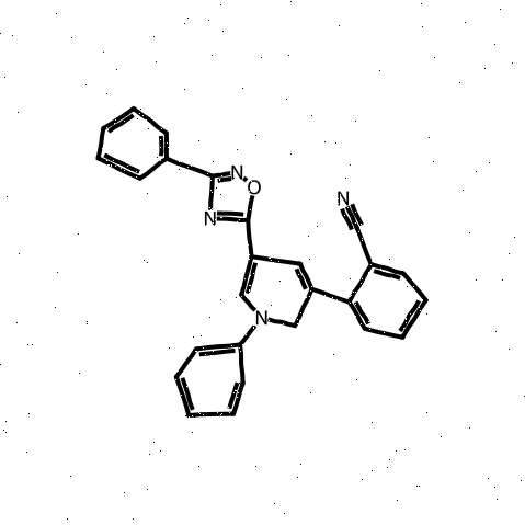 N#Cc1ccccc1C1=CC(c2nc(-c3ccccc3)no2)=CN(c2ccccc2)C1